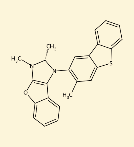 Cc1cc2sc3ccccc3c2cc1N1c2c(oc3ccccc23)N(C)[C@@H]1C